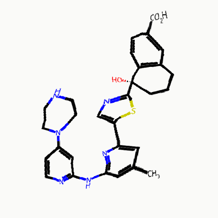 Cc1cc(Nc2cc(N3CCNCC3)ccn2)nc(-c2cnc([C@]3(O)CCCc4cc(C(=O)O)ccc43)s2)c1